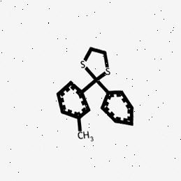 Cc1cccc(C2(c3ccccc3)SCCS2)c1